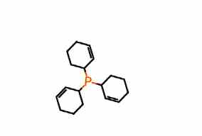 C1=CC(P(C2C=CCCC2)C2C=CCCC2)CCC1